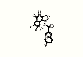 CN(C(=O)c1cc2ccc(F)cn2c1)[C@@H]1COCc2[nH]c(=O)c3cc(F)c(F)cc3c21